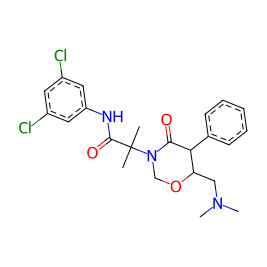 CN(C)CC1OCN(C(C)(C)C(=O)Nc2cc(Cl)cc(Cl)c2)C(=O)C1c1ccccc1